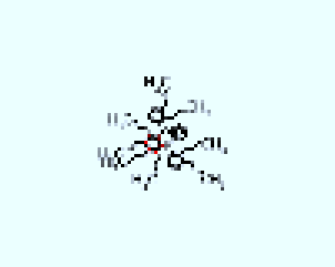 CCCCc1cccc(P(c2cccc(CCCC)c2CCCC)[C]23[CH]4[CH]5[CH]6[C]2(P(c2cccc(CCCC)c2CCCC)c2cccc(CCCC)c2CCCC)[Cr]54632789[CH]3[CH]2[CH]7[CH]8[CH]39)c1CCCC